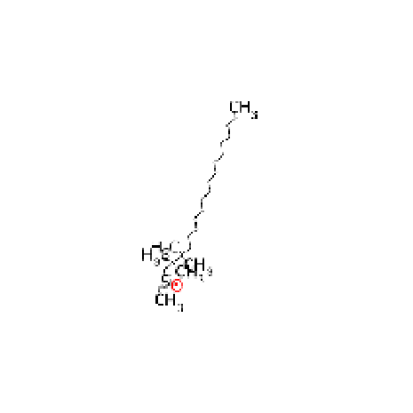 CCCCCCCCCCCCCCCCC(C)(C)C(C)(C)C[Si](=O)CC